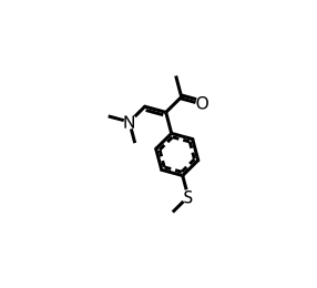 CSc1ccc(/C(=C\N(C)C)C(C)=O)cc1